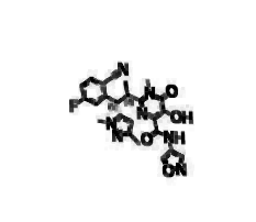 Cc1cc([C@H](c2cc(F)ccc2C#N)[C@@H](C)c2nc(C(=O)Nc3cnoc3)c(O)c(=O)n2C)n(C)n1